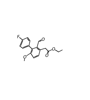 CCOC(=O)Cc1ccc(OC)c(-c2ccc(F)cc2)c1C=O